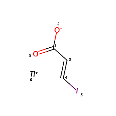 O=C([O-])C=CI.[Tl+]